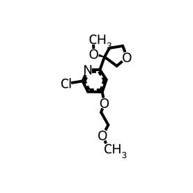 COCCOc1cc(Cl)nc([C@]2(OC)CCOC2)c1